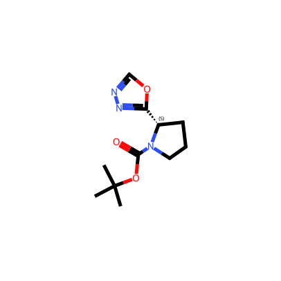 CC(C)(C)OC(=O)N1CCC[C@H]1c1nnco1